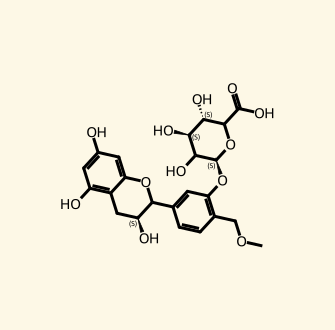 COCc1ccc(C2Oc3cc(O)cc(O)c3C[C@@H]2O)cc1O[C@@H]1OC(C(=O)O)[C@@H](O)[C@H](O)C1O